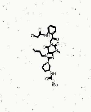 C/C=C/Cn1c(N2CCC[C@@H](NC(=O)OC(C)(C)C)C2)nc2c1c(=O)n(CC(=O)c1ccccc1NC(=O)CCl)c(=O)n2C